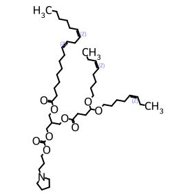 CC/C=C\CCCCOC(CCC(=O)OCC(COC(=O)CCCCCCC/C=C\C/C=C\CCCCC)COC(=O)OCCCN1CCCC1)OCCCC/C=C\CC